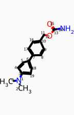 CN(C)c1ccc(-c2ccc(COC(N)=O)cc2)cc1